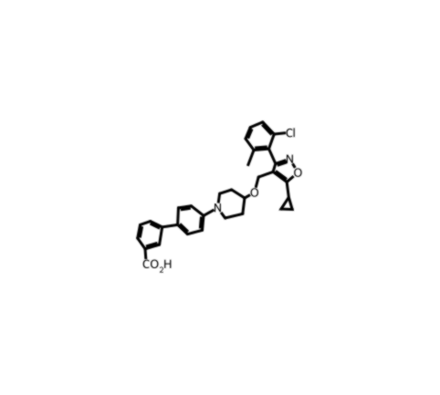 Cc1cccc(Cl)c1-c1noc(C2CC2)c1COC1CCN(c2ccc(-c3cccc(C(=O)O)c3)cc2)CC1